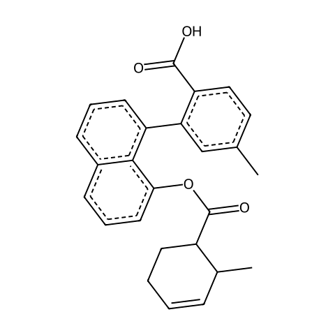 Cc1ccc(C(=O)O)c(-c2cccc3cccc(OC(=O)C4CCC=CC4C)c23)c1